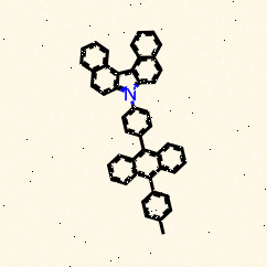 Cc1ccc(-c2c3ccccc3c(-c3ccc(-n4c5ccc6ccccc6c5c5c6ccccc6ccc54)cc3)c3ccccc23)cc1